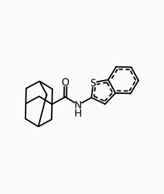 O=C(Nc1cc2ccccc2s1)C12CC3CC(CC(C3)C1)C2